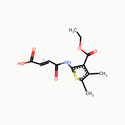 CCOC(=O)c1c(NC(=O)/C=C/C(=O)O)sc(C)c1C